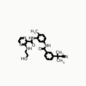 Cc1ccc(NC(=O)c2cccc(C(C)(C)C#N)c2)cc1NC(=O)c1nccnc1NCCO